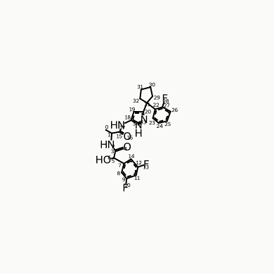 CC(NC(=O)C(O)c1cc(F)cc(F)c1)C(=O)Nc1cc(C2(c3ccccc3F)CCCC2)n[nH]1